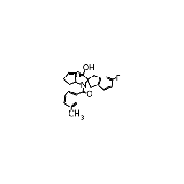 Cc1cccc(C(=O)N(C2C=CCC2)C2(C(=O)O)Cc3ccc(F)cc3C2)c1